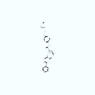 CC1(C)OC[C@@H](COc2cnc(NC(=O)C3C[C@H]4CN3C3=CN=C(c5cccc(C(F)(F)F)c5)NC3=N4)cn2)O1